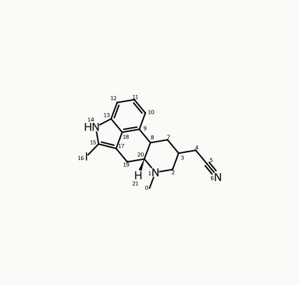 CN1CC(CC#N)CC2c3cccc4[nH]c(I)c(c34)C[C@H]21